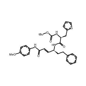 COc1ccc(NC(=O)/C=C/[C@H](CCc2ccccc2)NC(=O)[C@H](Cc2cccs2)NC(=O)OC(C)(C)C)cc1